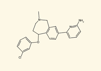 CN1CCC(Oc2cccc(Cl)c2)c2ccc(-c3cccc(N)n3)cc2C1